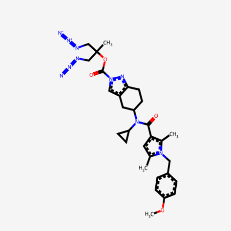 COc1ccc(Cn2c(C)cc(C(=O)N(C3CC3)C3CCc4nn(C(=O)OC(C)(CN=[N+]=[N-])CN=[N+]=[N-])cc4C3)c2C)cc1